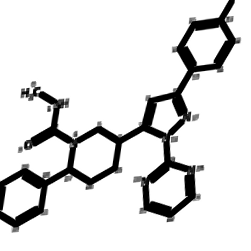 CNC(=O)N1CC(c2cc(-c3ccc(F)cc3)nn2-c2ncccn2)CCC1c1ccccc1